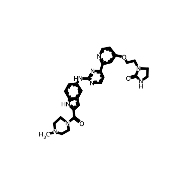 CN1CCN(C(=O)c2cc3cc(Nc4nccc(-c5cc(OCCN6CCNC6=O)ccn5)n4)ccc3[nH]2)CC1